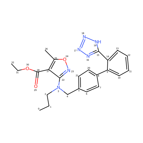 CCCN(Cc1ccc(-c2ccccc2-c2nnn[nH]2)cc1)c1noc(C)c1C(=O)OCC